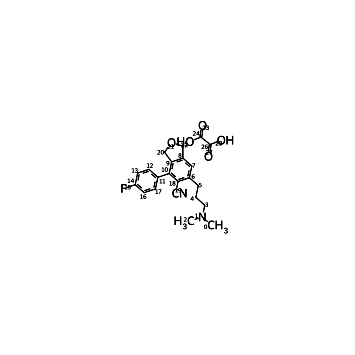 CN(C)CCCc1cc2c(c(-c3ccc(F)cc3)c1C#N)COC2.O=C(O)C(=O)O